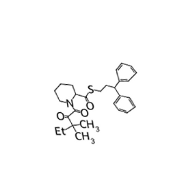 CCC(C)(C)C(=O)C(=O)N1CCCCC1C(=O)SCCC(c1ccccc1)c1ccccc1